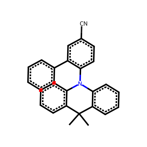 CC1(C)c2ccccc2N(c2ccc(C#N)cc2-c2ccccc2)c2ccccc21